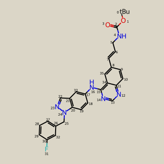 CC(C)(C)OC(=O)NC/C=C/c1ccc2ncnc(Nc3ccc4c(cnn4Cc4cccc(F)c4)c3)c2c1